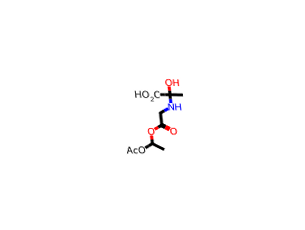 CC(=O)OC(C)OC(=O)CNC(C)(O)C(=O)O